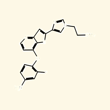 COCCn1cnc(-c2cc3nccc(Oc4ccc(N)cc4F)c3s2)c1